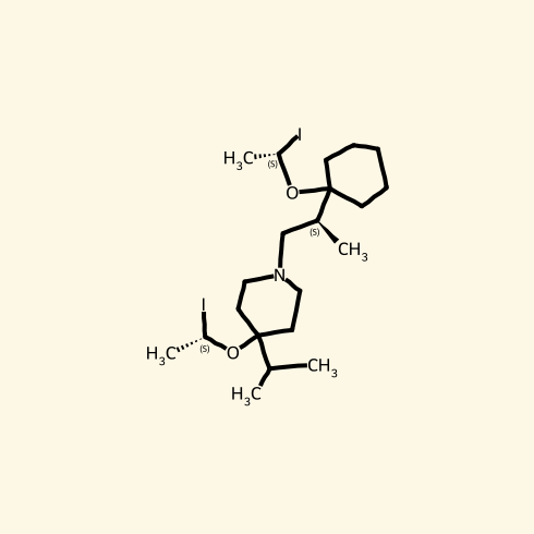 CC(C)C1(O[C@H](C)I)CCN(C[C@H](C)C2(O[C@H](C)I)CCCCC2)CC1